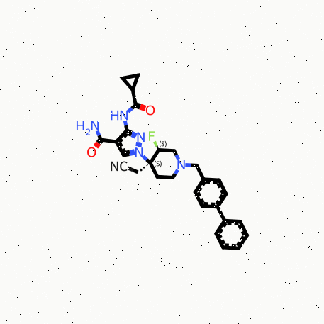 N#CC[C@@]1(n2cc(C(N)=O)c(NC(=O)C3CC3)n2)CCN(Cc2ccc(-c3ccccc3)cc2)C[C@@H]1F